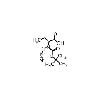 CC[C@@H](C(=O)O)N(N=[N+]=[N-])C(=O)OC(C)(C)C